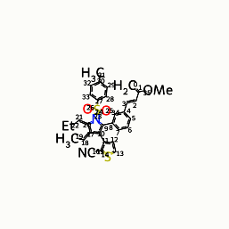 C=C(/C=C/c1cccc(-c2c(-c3ccsc3C#N)c(=C/C)/c(=C\CC)n2S(=O)(=O)c2ccc(C)cc2)c1)OC